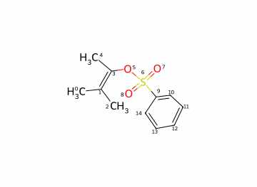 CC(C)=C(C)OS(=O)(=O)c1ccccc1